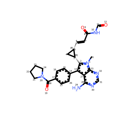 Cn1c([C@@H]2C[C@@H]2C=CC(=O)NC=O)c(-c2ccc(C(=O)N3CCCC3)cc2)c2c(N)ncnc21